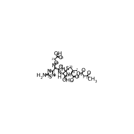 CC(=O)CC(=O)OCC1=C(C(=O)O)N2C(=O)[C@@H](NC(=O)/C(=N\OCC(=O)O)c3nsc(N)n3)[C@@H]2SC1